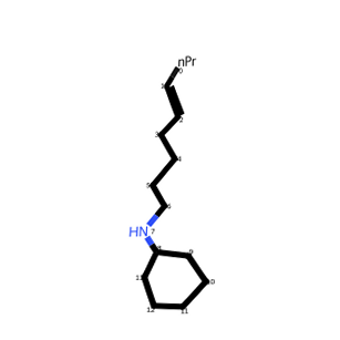 CCCC=CCCCCNC1CCCCC1